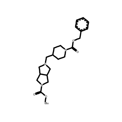 CC(C)(C)OC(=O)N1CC2CN(CC3CCN(C(=O)OCc4ccccc4)CC3)CC2C1